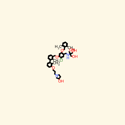 Cc1cccc(C)c1COc1cc(OCc2cccc(-c3cccc(OCCCN4CCC(O)C4)c3C)c2C)c(Cl)cc1CNC(CO)(CO)CO